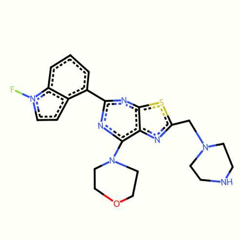 Fn1ccc2c(-c3nc(N4CCOCC4)c4nc(CN5CCNCC5)sc4n3)cccc21